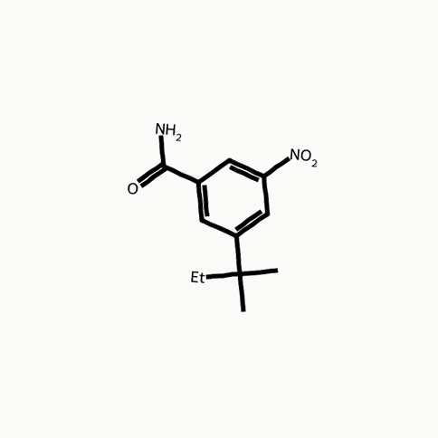 CCC(C)(C)c1cc(C(N)=O)cc([N+](=O)[O-])c1